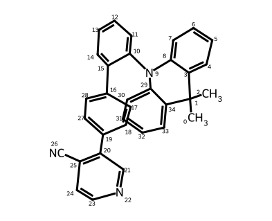 CC1(C)c2ccccc2N(c2ccccc2-c2ccc(-c3cnccc3C#N)cc2)c2ccccc21